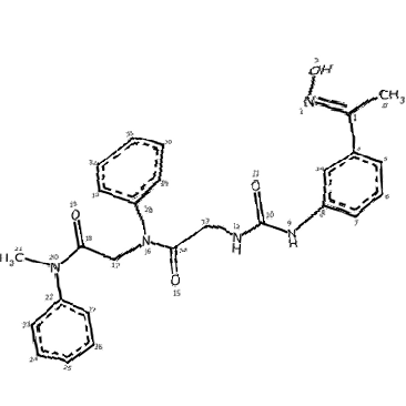 CC(=NO)c1cccc(NC(=O)NCC(=O)N(CC(=O)N(C)c2ccccc2)c2ccccc2)c1